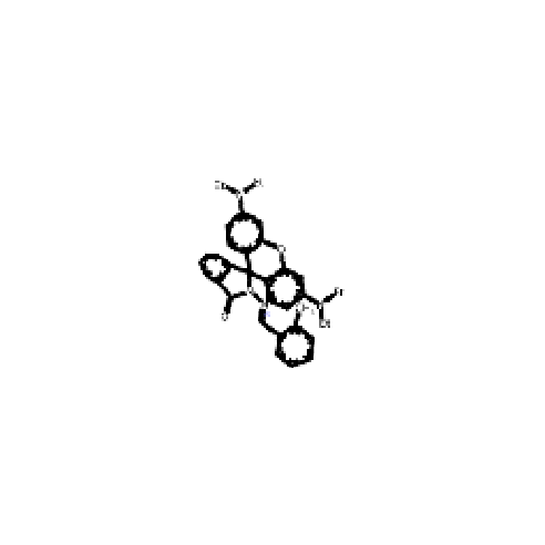 CCN(CC)c1ccc2c(c1)Oc1cc(N(CC)CC)ccc1C21c2ccccc2C(=O)N1/N=C/c1ccccc1C